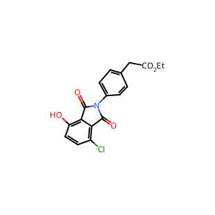 CCOC(=O)Cc1ccc(N2C(=O)c3c(O)ccc(Cl)c3C2=O)cc1